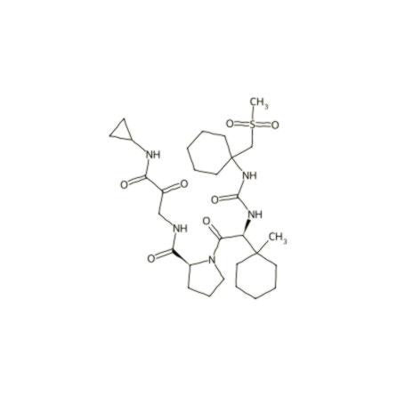 CC1([C@H](NC(=O)NC2(CS(C)(=O)=O)CCCCC2)C(=O)N2CCC[C@H]2C(=O)NCC(=O)C(=O)NC2CC2)CCCCC1